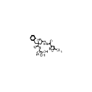 Cc1cc(C(=O)NCC2=NOC(Cc3ccccc3)(C(=O)N[C@@H](CC(C)C)B(O)O)C2)no1